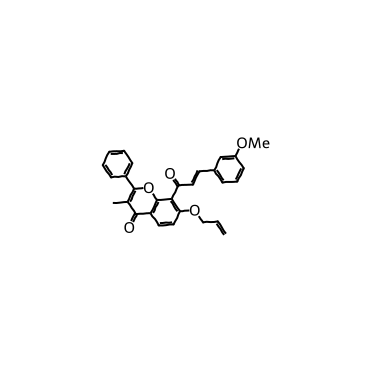 C=CCOc1ccc2c(=O)c(C)c(-c3ccccc3)oc2c1C(=O)C=Cc1cccc(OC)c1